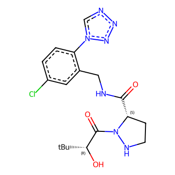 CC(C)(C)[C@@H](O)C(=O)N1NCC[C@H]1C(=O)NCc1cc(Cl)ccc1-n1cnnn1